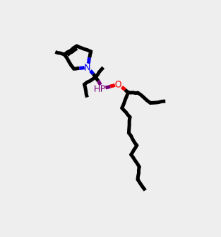 CCCCCCCCC(CCC)OPC(C)(CC)N1CC=C(C)C1